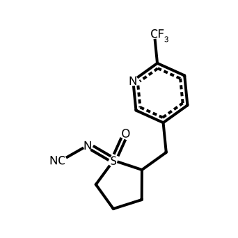 N#CN=S1(=O)CCCC1Cc1ccc(C(F)(F)F)nc1